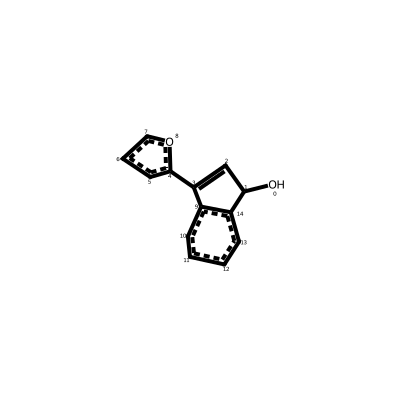 OC1C=C(c2ccco2)c2ccccc21